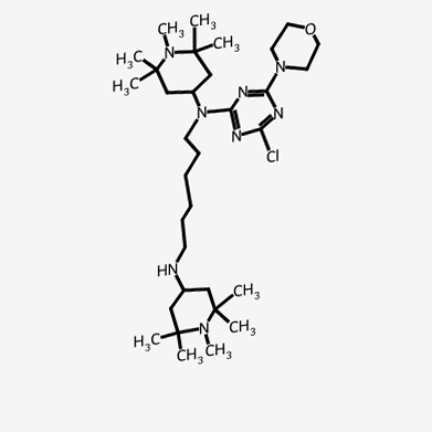 CN1C(C)(C)CC(NCCCCCCN(c2nc(Cl)nc(N3CCOCC3)n2)C2CC(C)(C)N(C)C(C)(C)C2)CC1(C)C